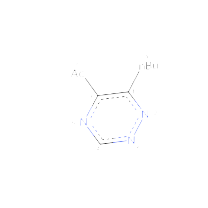 CCCCc1nncnc1C(C)=O